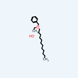 CCCCCCCCCCCC[O+](CC)Cc1ccccc1.[OH-]